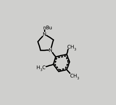 CCCCN1CCN(c2c(C)cc(C)cc2C)C1